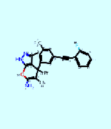 Cc1n[nH]c2c1C(c1cc(C#Cc3ccccc3F)cc(C(F)(F)F)c1)(C(C)C)C(C#N)=C(N)O2